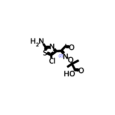 CC(C)(O/N=C(\[C]=O)c1nc(N)sc1Cl)C(=O)O